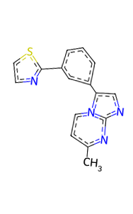 Cc1ccn2c(-c3cccc(-c4nccs4)c3)cnc2n1